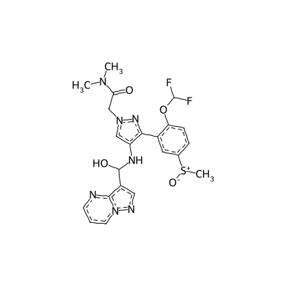 CN(C)C(=O)Cn1cc(NC(O)c2cnn3cccnc23)c(-c2cc([S+](C)[O-])ccc2OC(F)F)n1